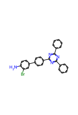 Nc1ccc(-c2ccc(-c3nc(-c4ccccc4)nc(-c4ccccc4)n3)cc2)cc1Br